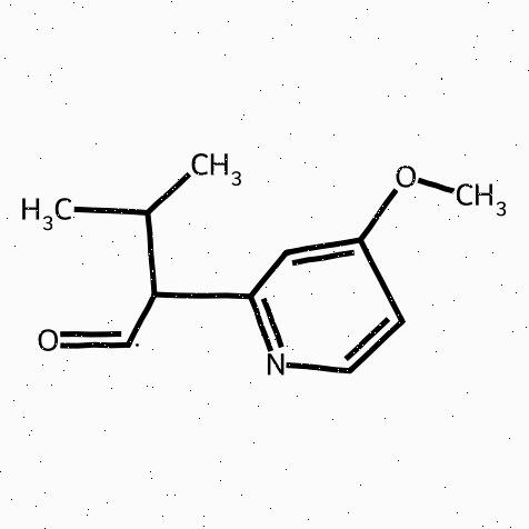 COc1ccnc(C([C]=O)C(C)C)c1